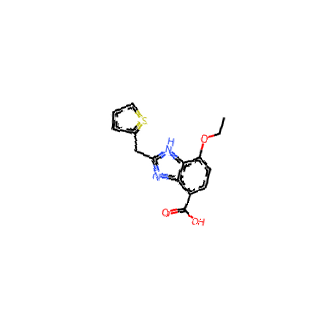 CCOc1ccc(C(=O)O)c2nc(Cc3cccs3)[nH]c12